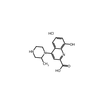 CC1CNCCN1c1cc(C(=O)O)nc2c(O)cccc12.Cl